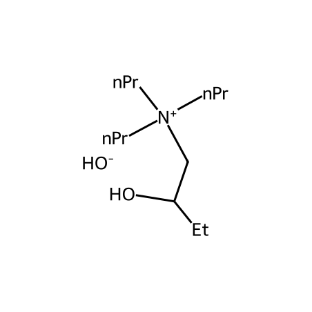 CCC[N+](CCC)(CCC)CC(O)CC.[OH-]